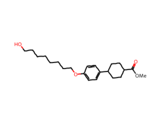 COC(=O)C1CCC(c2ccc(OCCCCCCCCO)cc2)CC1